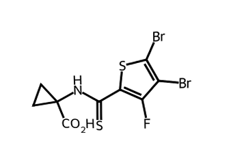 O=C(O)C1(NC(=S)c2sc(Br)c(Br)c2F)CC1